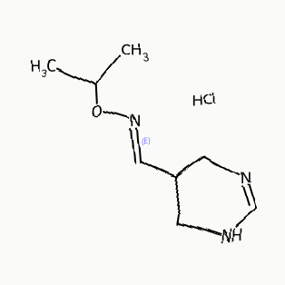 CC(C)O/N=C/C1CN=CNC1.Cl